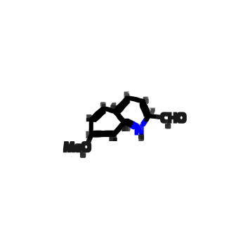 COc1ccc2ccc(C=O)nc2c1